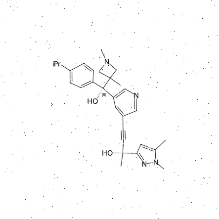 Cc1cc(C(C)(O)C#Cc2cncc([C@@](O)(c3ccc(C(C)C)cc3)C3(C)CN(C)C3)c2)nn1C